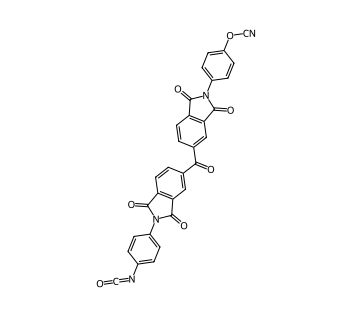 N#COc1ccc(N2C(=O)c3ccc(C(=O)c4ccc5c(c4)C(=O)N(c4ccc(N=C=O)cc4)C5=O)cc3C2=O)cc1